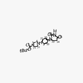 CC(C)(C)OC(=O)N1CCN(c2ccc(N3CCC(=O)NC3=O)cc2)CC1